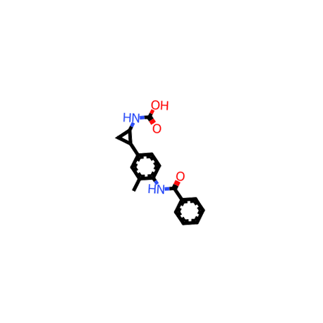 Cc1cc(C2CC2NC(=O)O)ccc1NC(=O)c1ccccc1